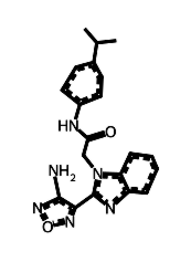 CC(C)c1ccc(NC(=O)Cn2c(-c3nonc3N)nc3ccccc32)cc1